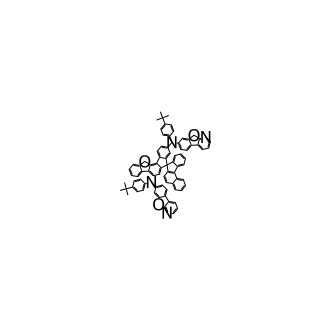 CC(C)(C)c1ccc(N(c2ccc3c(c2)C2(c4ccccc4-c4c2ccc2ccccc42)c2cc(N(c4ccc(C(C)(C)C)cc4)c4ccc5c(c4)oc4ncccc45)c4c(oc5ccccc54)c2-3)c2ccc3c(c2)oc2ncccc23)cc1